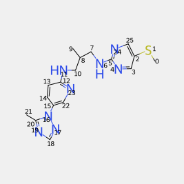 CSc1cnc(NCC(C)CNc2ccc(-n3ncnc3C)cn2)nc1